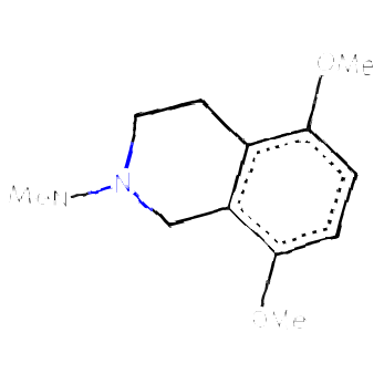 CNN1CCc2c(OC)ccc(OC)c2C1